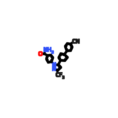 N#Cc1ccc(-c2ccc(-c3cc(C(F)(F)F)nn3-c3ccc(C(N)=O)cc3)cc2)cc1